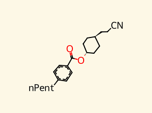 CCCCCc1ccc(C(=O)O[C@H]2CC[C@H](CCC#N)CC2)cc1